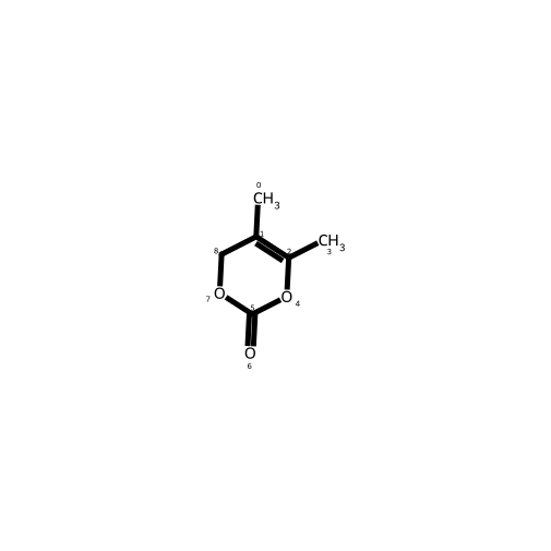 CC1=C(C)OC(=O)OC1